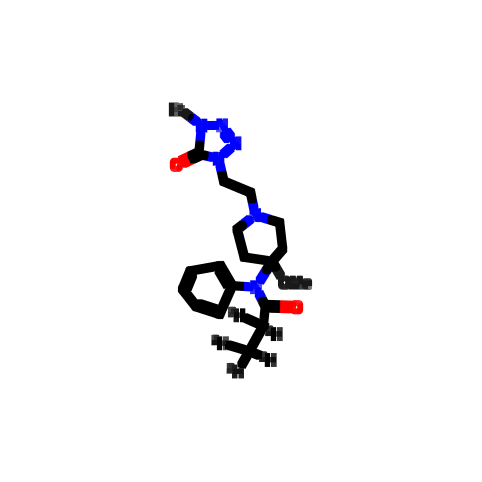 [2H]C([2H])([2H])C([2H])([2H])C(=O)N(c1ccccc1)C1(OC)CCN(CCn2nnn(CC)c2=O)CC1